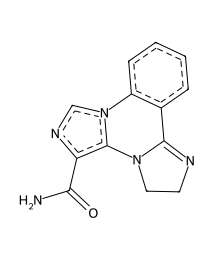 NC(=O)c1ncn2c1N1CCN=C1c1ccccc1-2